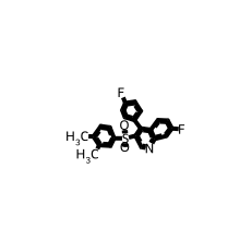 Cc1ccc(S(=O)(=O)c2cnc3cc(F)ccc3c2-c2ccc(F)cc2)cc1C